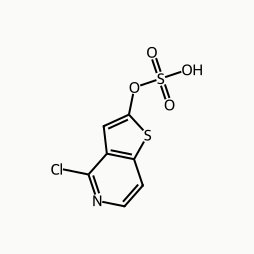 O=S(=O)(O)Oc1cc2c(Cl)nccc2s1